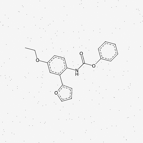 CCOc1ccc(NC(=O)Oc2ccccc2)c(-c2ccco2)c1